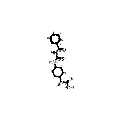 CN(C(=O)O)C1CCC(NC(=S)NC(=O)c2ccccc2)CC1